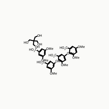 COc1cc(OC)cc(C(=O)O)c1.COc1cc(OC)cc(C(=O)O)c1.COc1cc(OC)cc(C(=O)O)c1.COc1cc(OC)cc(C(=O)O)c1.OCC(CO)(CO)CO